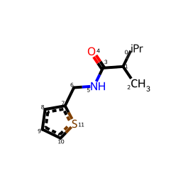 CC(C)C(C)C(=O)NCc1cccs1